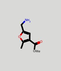 COC(=O)c1cc(CN)oc1C